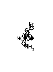 CCc1cccc(C(=O)Cn2cnc3c(C#N)c(N4CCC[C@@H](N)C4)n(Cc4ccno4)c3c2=O)c1